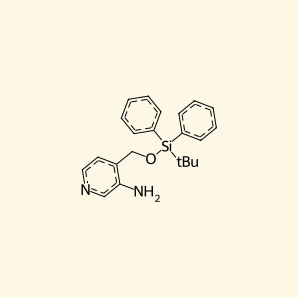 CC(C)(C)[Si](OCc1ccncc1N)(c1ccccc1)c1ccccc1